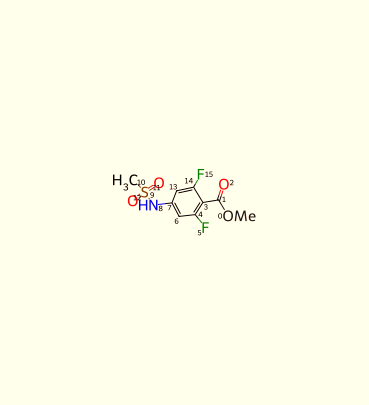 COC(=O)c1c(F)cc(NS(C)(=O)=O)cc1F